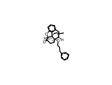 CN1CC[C@]23c4c5cccc4O[C@H]2C(=O)CC[C@@]3(OCCCc2ccccc2)[C@H]1C5